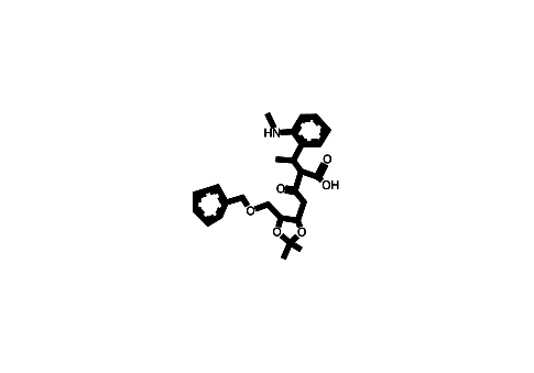 CNc1ccccc1C(C)C(C(=O)O)C(=O)CC1OC(C)(C)OC1COCc1ccccc1